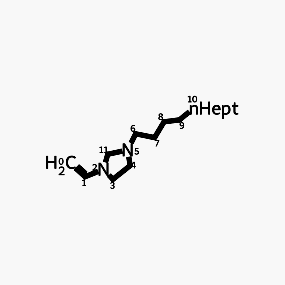 C=CN1CCN(CCCCCCCCCCC)C1